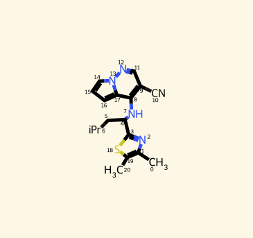 Cc1nc(C(CC(C)C)Nc2c(C#N)cnn3cccc23)sc1C